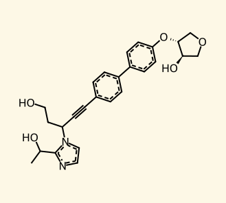 CC(O)c1nccn1C(C#Cc1ccc(-c2ccc(O[C@@H]3COC[C@H]3O)cc2)cc1)CCO